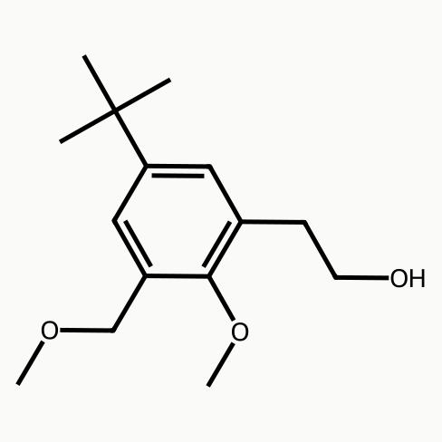 COCc1cc(C(C)(C)C)cc(CCO)c1OC